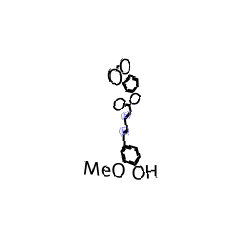 COc1cc(/C=C/C=C/C(=O)Oc2ccc3c(c2)OCO3)ccc1O